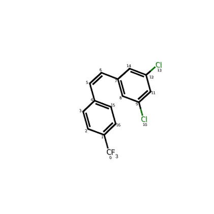 FC(F)(F)c1ccc(/C=C\c2cc(Cl)cc(Cl)c2)cc1